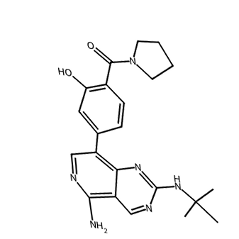 CC(C)(C)Nc1ncc2c(N)ncc(-c3ccc(C(=O)N4CCCC4)c(O)c3)c2n1